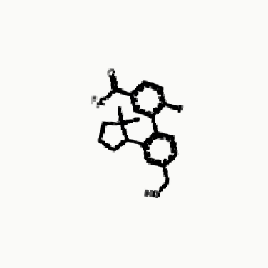 CC1(C)CCC[C@@H]1c1cc(CO)ccc1-c1cc(C(=O)C(F)(F)F)ccc1F